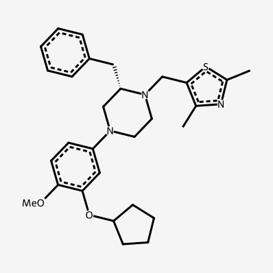 COc1ccc(N2CCN(Cc3sc(C)nc3C)[C@@H](Cc3ccccc3)C2)cc1OC1CCCC1